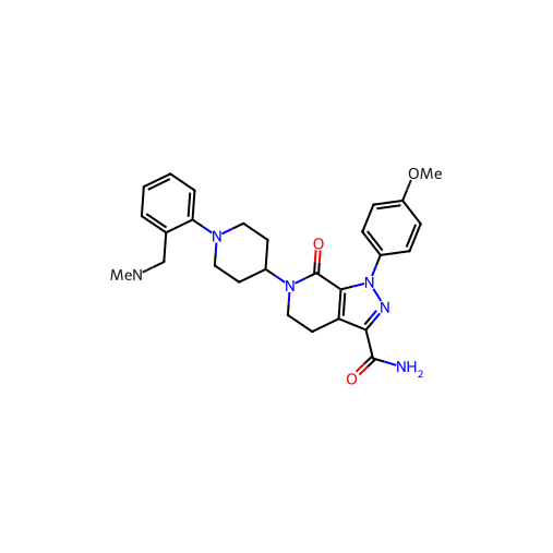 CNCc1ccccc1N1CCC(N2CCc3c(C(N)=O)nn(-c4ccc(OC)cc4)c3C2=O)CC1